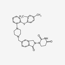 Cc1ccc(Sc2ccccc2N2CCN(Cc3ccc4c(c3)CN(N3CCC(=O)NC3=O)C4=O)CC2)c(C)c1